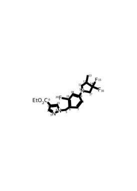 CCOC(=O)c1cnn(Cc2ccc(N3CC(C)C(F)(F)C3)cc2F)c1